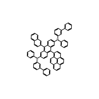 c1ccc(-c2cccc(N(c3ccccc3)c3ccc4c(-c5ccc6ccc7cccc8ccc5c6c78)c5cc(N(c6ccccc6)c6cccc(-c7ccccc7)c6)ccc5c(-c5ccc6ccccc6c5)c4c3)c2)cc1